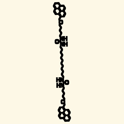 O=C(NCCCCCCCCCCCCNC(=O)NCCCCCOCc1ccc2ccc3cccc4ccc1c2c34)NCCCCCOCc1ccc2ccc3cccc4ccc1c2c34